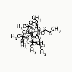 CCC[O][Zr]([O]CCC)([O]CCC)[O][Si](OC(C)(C)C)(OC(C)(C)C)OC(C)(C)C